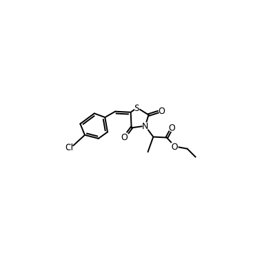 CCOC(=O)C(C)N1C(=O)SC(=Cc2ccc(Cl)cc2)C1=O